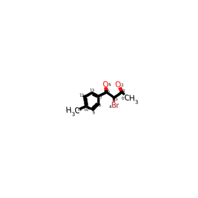 CC(=O)C(Br)C(=O)c1ccc(C)cc1